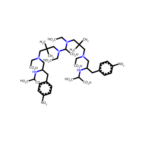 CC(C)(CN(CC(=O)O)CC(Cc1ccc([N+](=O)[O-])cc1)NC(C(=O)O)C(=O)O)CN(CC(=O)O)C(C(=O)O)N(CC(=O)O)CC(C)(C)CN(CC(=O)O)CC(Cc1ccc([N+](=O)[O-])cc1)NC(C(=O)O)C(=O)O